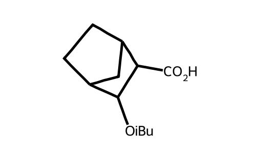 CC(C)COC1C2CCC(C2)C1C(=O)O